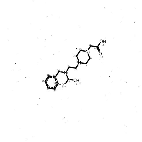 CC(C)N(CCN1CCN(CC(=O)O)CC1)Cc1ccccc1